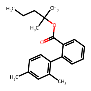 CCCC(C)(C)OC(=O)c1ccccc1-c1ccc(C)cc1C